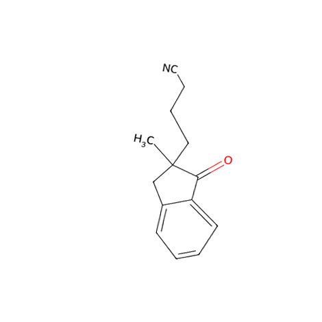 CC1(CCCC#N)Cc2ccccc2C1=O